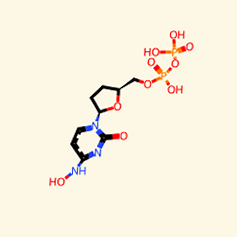 O=c1nc(NO)ccn1[C@H]1CC[C@@H](COP(=O)(O)OP(=O)(O)O)O1